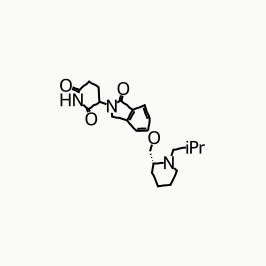 CC(C)CN1CCCC[C@@H]1COc1ccc2c(c1)CN(C1CCC(=O)NC1=O)C2=O